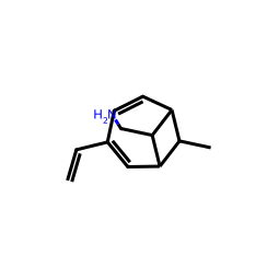 C=CC1=CC2C(C)C(C=C1)C2CN